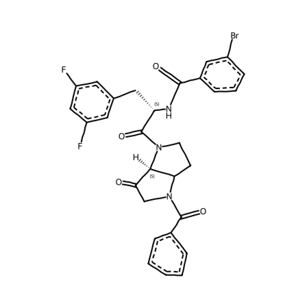 O=C(N[C@@H](Cc1cc(F)cc(F)c1)C(=O)N1CCC2[C@H]1C(=O)CN2C(=O)c1ccccc1)c1cccc(Br)c1